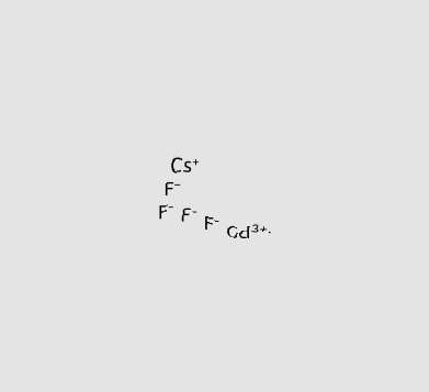 [Cs+].[F-].[F-].[F-].[F-].[Gd+3]